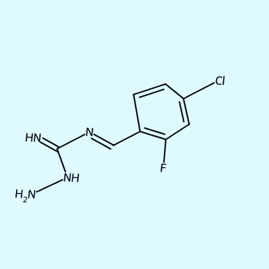 N=C(N=Cc1ccc(Cl)cc1F)NN